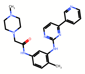 Cc1ccc(NC(=O)CN2CCN(C)CC2)cc1Nc1nccc(-c2cccnc2)n1